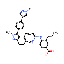 CCCc1cc(C(=O)O)ccc1NC1=C/C=C/C2=C(/C=N\1)CCc1nn(C)c(-c3ccc(-c4cnn(C)c4)cc3)c12